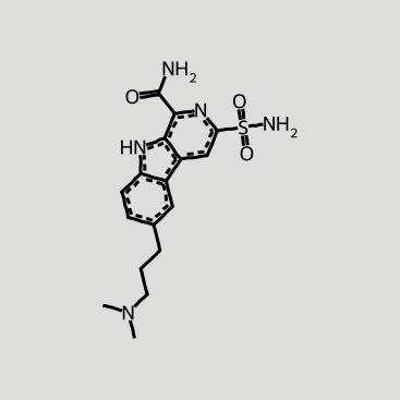 CN(C)CCCc1ccc2[nH]c3c(C(N)=O)nc(S(N)(=O)=O)cc3c2c1